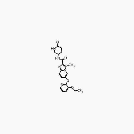 Cc1c(C(=O)N[C@H]2CCC(=O)NC2)nc2ccc(Oc3ncccc3OCC(F)(F)F)cn12